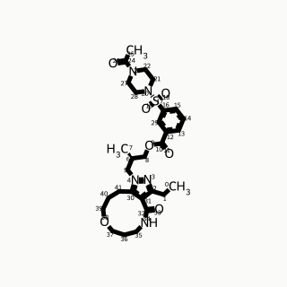 CCc1nn(C[C@@H](C)COC(=O)c2cccc(S(=O)(=O)N3CCN(C(C)=O)CC3)c2)c2c1C(=O)NCCCOCCC2